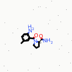 Cc1ccc(N)c(C(=O)N2CCC[C@@H]2C(N)=O)c1